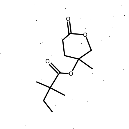 CCC(C)(C)C(=O)OC1(C)CCC(=O)OC1